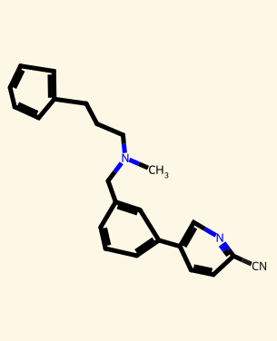 CN(CCCc1ccccc1)Cc1cccc(-c2ccc(C#N)nc2)c1